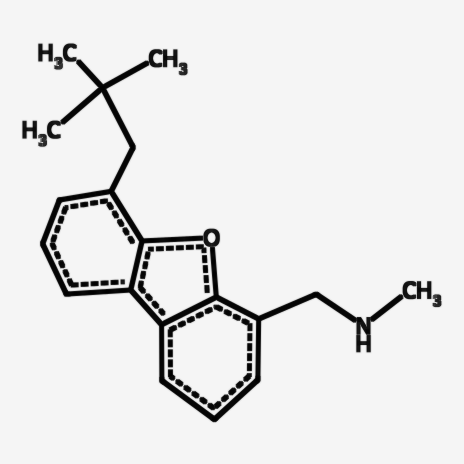 CNCc1cccc2c1oc1c(CC(C)(C)C)cccc12